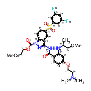 COCCOC(=O)n1nc(NC(=O)c2ccc(OCCN(C)C)cc2N[C@@H](C)COC)c2cc(S(=O)(=O)c3cc(F)cc(F)c3)ccc21